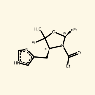 CCC[C@@H]1OC(C)(CC)[C@H](Cc2c[nH]cn2)N1C(=O)CC